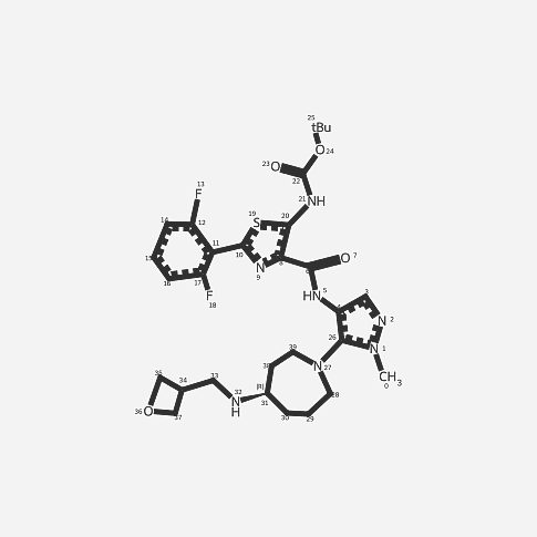 Cn1ncc(NC(=O)c2nc(-c3c(F)cccc3F)sc2NC(=O)OC(C)(C)C)c1N1CCC[C@@H](NCC2COC2)CC1